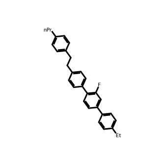 CCCc1ccc(CCc2ccc(-c3ccc(-c4ccc(CC)cc4)cc3F)cc2)cc1